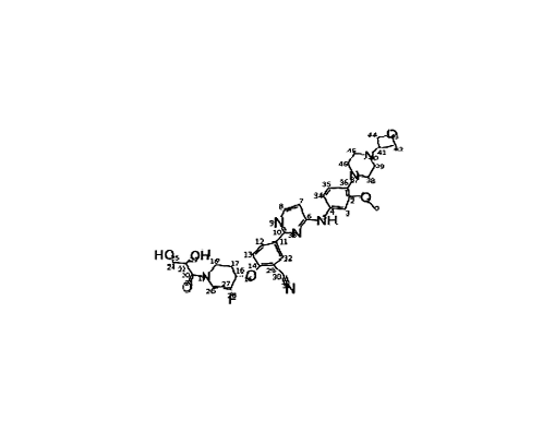 COc1cc(Nc2ccnc(-c3ccc(O[C@H]4CCN(C(=O)[C@H](O)CO)C[C@H]4F)c(C#N)c3)n2)ccc1N1CCN(C2COC2)CC1